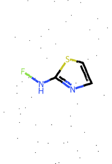 FNc1nccs1